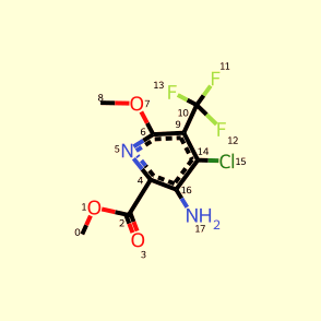 COC(=O)c1nc(OC)c(C(F)(F)F)c(Cl)c1N